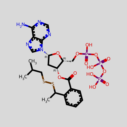 CC(C)CSSC(C)c1ccccc1C(=O)O[C@@H]1C[C@H](n2cnc3c(N)ncnc32)O[C@@H]1COP(=O)(O)OP(=O)(O)OP(=O)(O)O